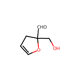 O=CC1(CO)CC=CO1